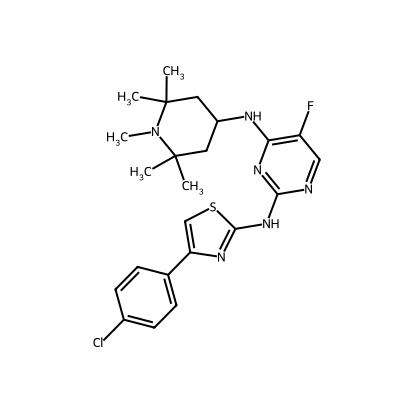 CN1C(C)(C)CC(Nc2nc(Nc3nc(-c4ccc(Cl)cc4)cs3)ncc2F)CC1(C)C